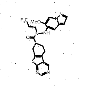 COc1cn2nccc2cc1NN(CCC(F)(F)F)C(=O)C1CCc2c(sc3ncncc23)C1